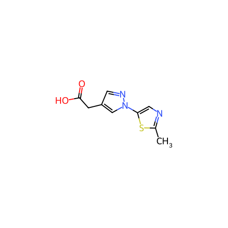 Cc1ncc(-n2cc(CC(=O)O)cn2)s1